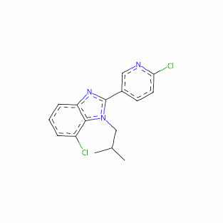 CC(C)Cn1c(-c2ccc(Cl)nc2)nc2cccc(Cl)c21